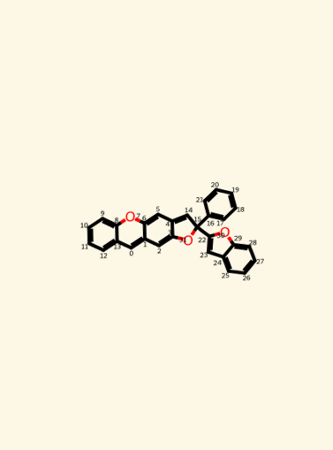 C1=c2cc3c(cc2Oc2ccccc21)=CC(c1ccccc1)(c1cc2ccccc2o1)O3